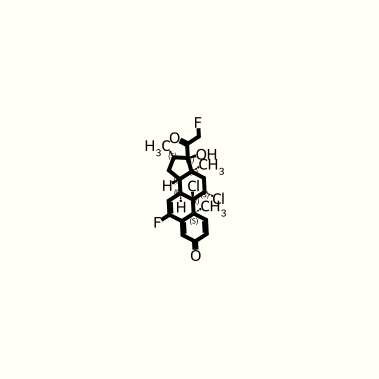 C[C@H]1C[C@H]2[C@@H]3C=C(F)C4=CC(=O)C=C[C@]4(C)[C@@]3(Cl)[C@@H](Cl)C[C@]2(C)[C@@]1(O)C(=O)CF